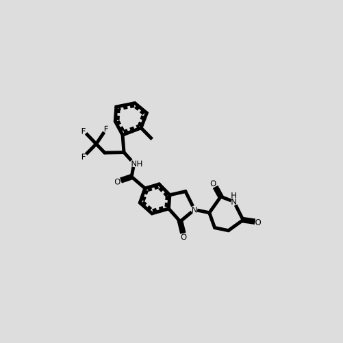 Cc1ccccc1C(CC(F)(F)F)NC(=O)c1ccc2c(c1)CN(C1CCC(=O)NC1=O)C2=O